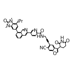 CC(C)c1cc(-c2cccc3cc(-c4ccc(C(=O)NCC#Cc5cc6c(C7CCC(=O)NC7=O)coc6cc5C#N)nc4)ncc23)cc2c1n(C)c(=O)n2C